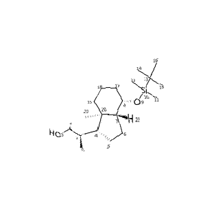 C[C@@H](CO)[C@H]1CC[C@H]2[C@@H](O[Si](C)(C)C(C)(C)C)CCC[C@]12C